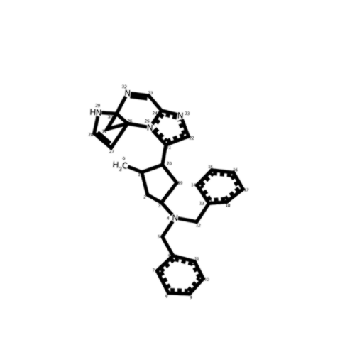 CC1CC(N(Cc2ccccc2)Cc2ccccc2)CC1c1cnc2n1C13C=CNC1(C3)N=C2